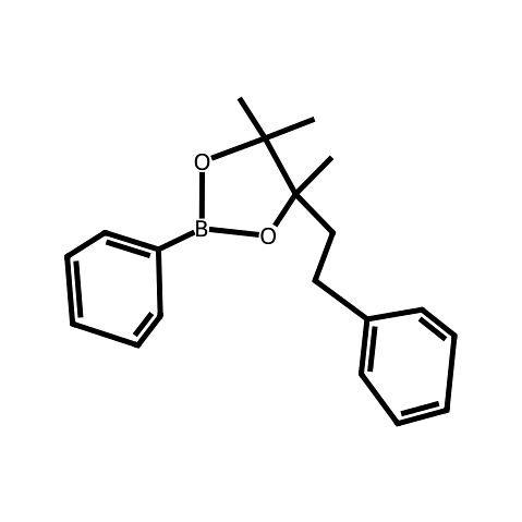 CC1(C)OB(c2ccccc2)OC1(C)CCc1ccccc1